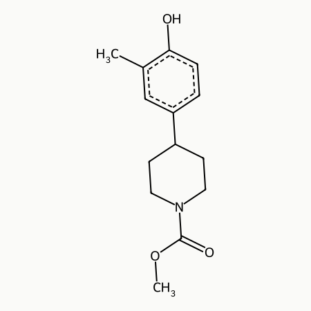 COC(=O)N1CCC(c2ccc(O)c(C)c2)CC1